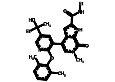 CCNC(=O)c1cc2c(-c3cc(C(C)(O)CC)cnc3Oc3c(C)cccc3C)cn(C)c(=O)c2[nH]1